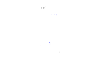 CCN(O)CCN[C]=O